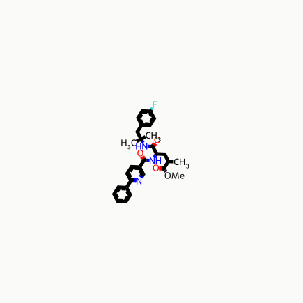 COC(=O)C(C)CC(NC(=O)c1ccc(-c2ccccc2)nc1)C(=O)NC(C)(C)Cc1ccc(F)cc1